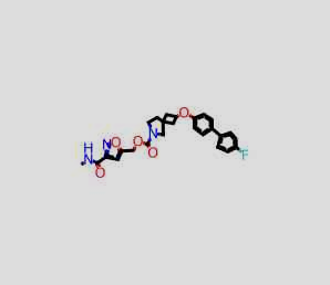 CNC(=O)c1cc(COC(=O)N2CCC3(CC(Oc4ccc(-c5ccc(F)cc5)cc4)C3)C2)on1